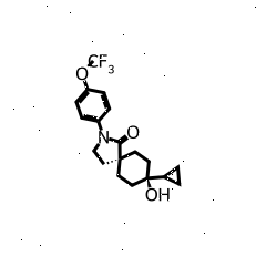 O=C1N(c2ccc(OC(F)(F)F)cc2)CC[C@]12CC[C@@](O)(C1CC1)CC2